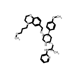 COCCCN1CCOc2ccc(CO[C@H]3CN[C@@H](C[C@@H](C)Nc4ccccn4)C[C@@H]3c3ccc(OC)cc3)cc21